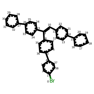 Brc1ccc(-c2ccc(/C(=C\c3ccc(-c4ccccc4)cc3)c3ccc(-c4ccccc4)cc3)cc2)cc1